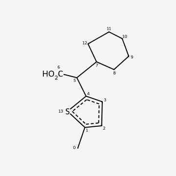 Cc1ccc(C(C(=O)O)C2CCCCC2)s1